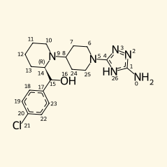 Nc1nnc(N2CCC(N3CCCC[C@@H]3C(O)c3ccc(Cl)cc3)CC2)[nH]1